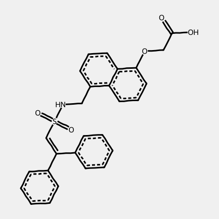 O=C(O)COc1cccc2c(CNS(=O)(=O)C=C(c3ccccc3)c3ccccc3)cccc12